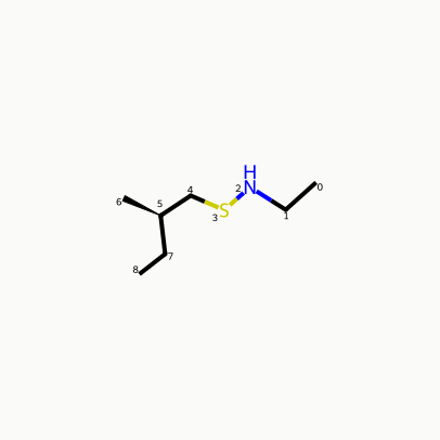 CCNSC[C@H](C)CC